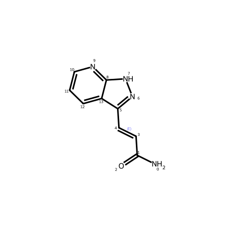 NC(=O)/C=C/c1n[nH]c2ncccc12